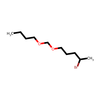 CCCCOCOCCCC(C)Br